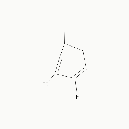 CCC1=CC(C)CC=C1F